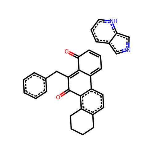 O=C1C=CC=C2C1=C(Cc1ccccc1)C(=O)c1c2ccc2c1CCCC2.c1c[nH]c2cncc-2c1